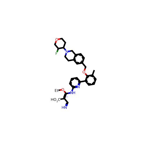 CCO/C(Nc1cccc(-c2cccc(C)c2OCc2ccc3c(c2)CCN(C2CCOCC2F)C3)n1)=C(/C=N)C(=O)O